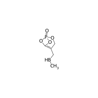 CBCC1=C2OP(=O)(OC1)O2